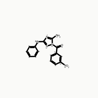 Nc1nc(Nc2ccccc2)nn1C(=O)c1cccc([N+](=O)[O-])c1